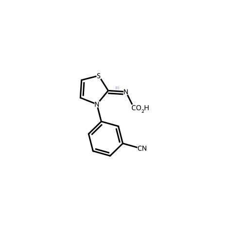 N#Cc1cccc(-n2ccs/c2=N/C(=O)O)c1